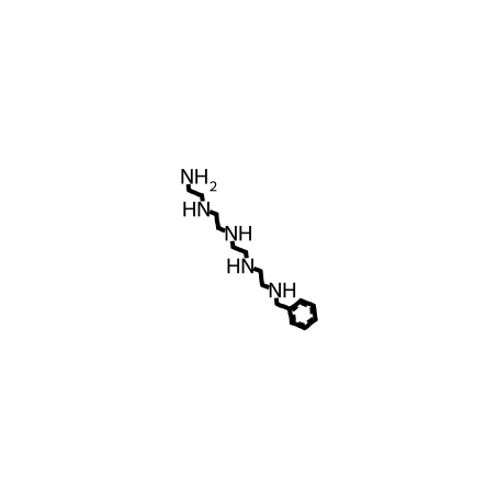 NCCNCCNCCNCCNCc1ccccc1